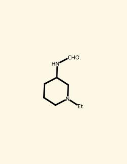 CCN1CCCC(N[C]=O)C1